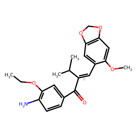 CCOc1cc(C(=O)/C(=C/c2cc3c(cc2OC)OCO3)C(C)C)ccc1N